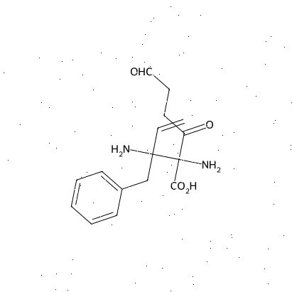 C=CC(N)(Cc1ccccc1)C(N)(C(=O)O)C(=O)CCC=O